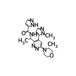 CC(NC(=O)c1ccn[nH]1)c1nnc(N2CCOC[C@H]2C)cc1-c1ccnn1C